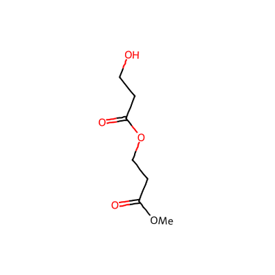 COC(=O)CCOC(=O)CCO